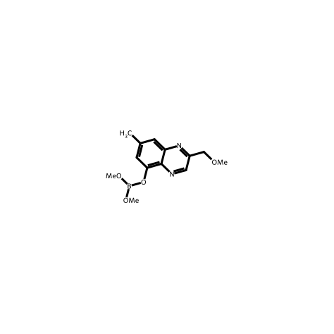 COCc1cnc2c(OB(OC)OC)cc(C)cc2n1